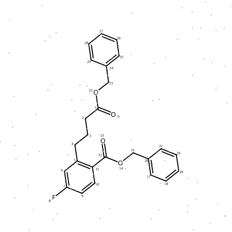 O=C(CCCc1cc(F)ccc1C(=O)OCc1ccccc1)OCc1ccccc1